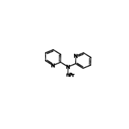 CCCN(c1ccccn1)c1ccccn1